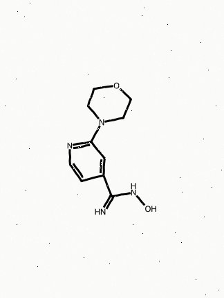 N=C(NO)c1ccnc(N2CCOCC2)c1